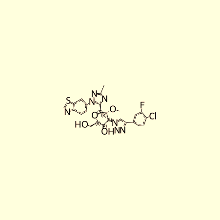 CO[C@@H]1[C@@H](n2cc(-c3ccc(Cl)c(F)c3)nn2)[C@@H](O)[C@@H](CO)O[C@H]1c1nc(C)nn1-c1ccc2ncsc2c1